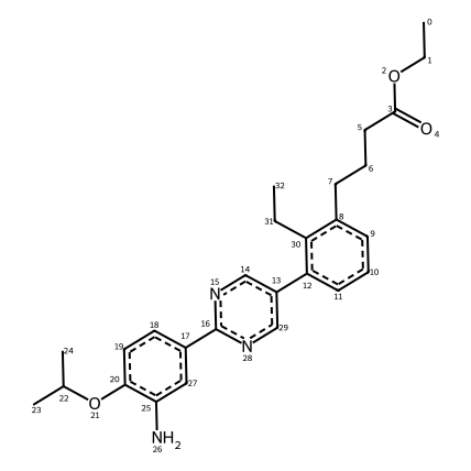 CCOC(=O)CCCc1cccc(-c2cnc(-c3ccc(OC(C)C)c(N)c3)nc2)c1CC